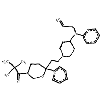 C=CCN(c1ccccn1)C1CCN(CCC2(c3ccccc3)CCN(C(=O)C(C)(C)C)CO2)CC1